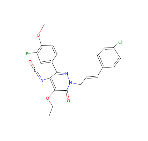 CCOc1c(N=C=O)c(-c2ccc(OC)c(F)c2)nn(CC=Cc2ccc(Cl)cc2)c1=O